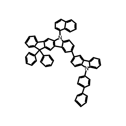 c1ccc(-c2ccc(-n3c4ccccc4c4cc(-c5ccc6c(c5)c5cc7c(cc5n6-c5cccc6ccccc56)-c5ccccc5C7(c5ccccc5)c5ccccc5)ccc43)cc2)cc1